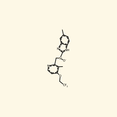 Cc1ccc2[nH]c([S+]([O-])Cc3nccc(OCC(F)(F)F)c3C)nc2c1